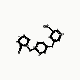 O=Cc1cncc(Cc2ccc(Cn3ccccc3=O)nc2)c1